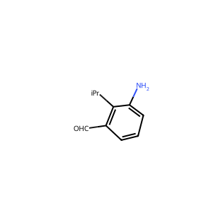 CC(C)c1c(N)cccc1C=O